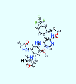 C=CC(=O)Nc1cc(Nc2cc(N3OCC[C@@H]3c3cccc(C(F)(F)F)c3)ncn2)c(OC)cc1N1C[C@H]2C[C@@H]1CO2